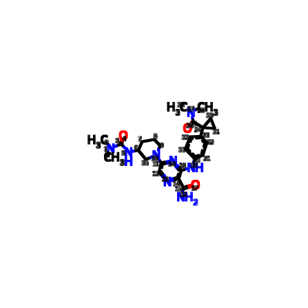 CN(C)C(=O)NC1CCCN(c2cnc(C(N)=O)c(Nc3ccc(C4(C(=O)N(C)C)CC4)cc3)n2)C1